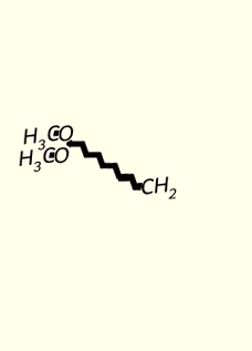 C=CC=CCCCCCC(OC)OC